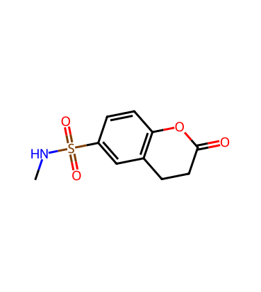 CNS(=O)(=O)c1ccc2c(c1)CCC(=O)O2